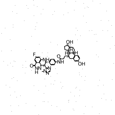 Cn1ncnc1[C@H]1c2n[nH]c(=O)c3cc(F)cc(c23)N[C@@H]1c1ccc(NC(=O)CC[C@@H]2Cc3cc(O)ccc3[C@H]3CC[C@]4(C)[C@@H](O)CC[C@H]4[C@H]23)cc1